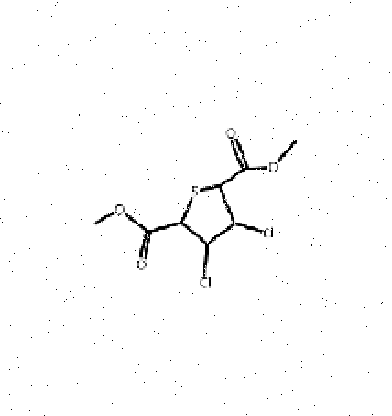 COC(=O)C1SC(C(=O)OC)C(Cl)C1Cl